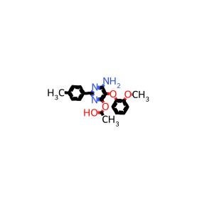 COc1ccccc1Oc1c(N)nc(-c2ccc(C)cc2)nc1OC(C)O